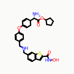 N[C@H](C(=O)OC1CCCC1)C1C=CC(Oc2ccc(CNCc3ccc4cc(C(=O)NO)sc4c3)cc2)=CC1